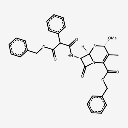 CO[C@H]1S[C@@H]2[C@@H](NC(=O)C(C(=O)OCc3ccccc3)c3ccccc3)C(=O)N2C(C(=O)OCc2ccccc2)=C1C